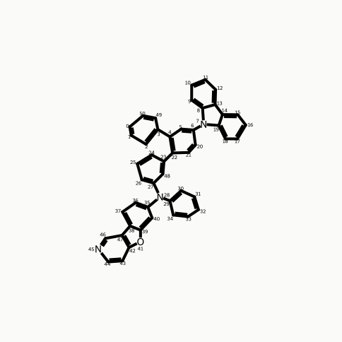 c1ccc(-c2cc(-n3c4ccccc4c4ccccc43)ccc2-c2cccc(N(c3ccccc3)c3ccc4c(c3)oc3ccncc34)c2)cc1